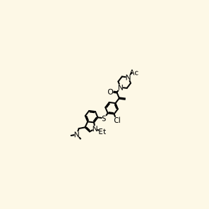 C=C(C(=O)N1CCN(C(C)=O)CC1)c1ccc(Sc2cccc3c(CN(C)C)cn(CC)c23)c(Cl)c1